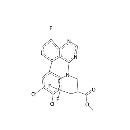 COC(=O)C1CN(c2ncnc3c(F)ccc(-c4ccc(Cl)c(Cl)c4)c23)CC(F)(F)C1